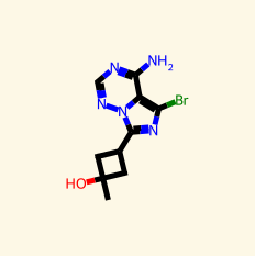 CC1(O)CC(c2nc(Br)c3c(N)ncnn23)C1